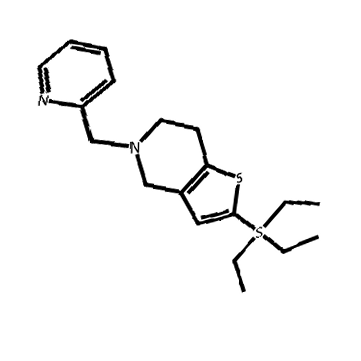 CCS(CC)(CC)c1cc2c(s1)CCN(Cc1ccccn1)C2